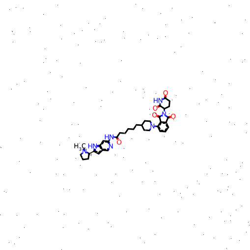 CN1CCC[C@@H]1c1cc2cnc(NC(=O)CCCCCC3CCN(c4cccc5c4C(=O)N(C4CCC(=O)NC4=O)C5=O)CC3)cc2[nH]1